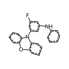 Fc1cc(Nc2ccccc2)cc(N2c3ccccc3Oc3ccccc32)c1